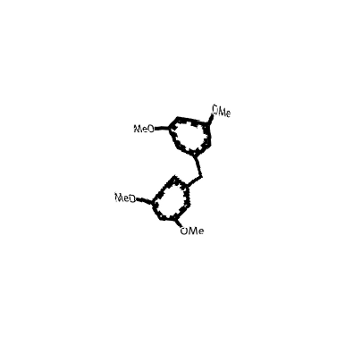 COc1cc(Cc2cc(OC)cc(OC)c2)cc(OC)c1